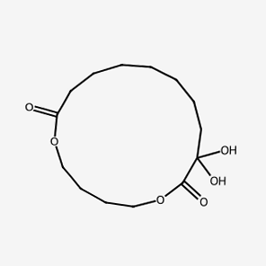 O=C1CCCCCCCC(O)(O)C(=O)OCCCCO1